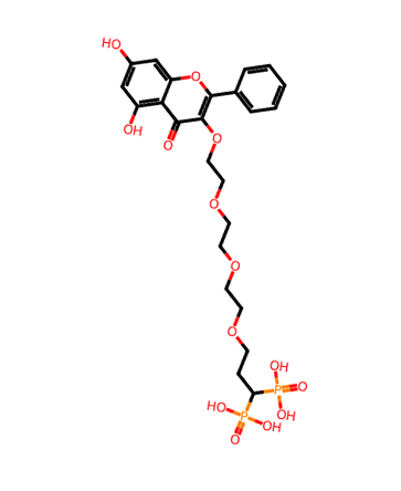 O=c1c(OCCOCCOCCOCCC(P(=O)(O)O)P(=O)(O)O)c(-c2ccccc2)oc2cc(O)cc(O)c12